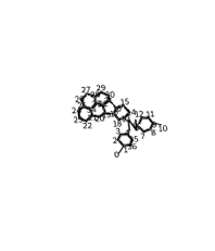 Cc1ccc(N(c2ccc(C)cc2)c2ccc3c(c2)-c2cc4cccc5ccc6ccc-3c2c6c54)cc1